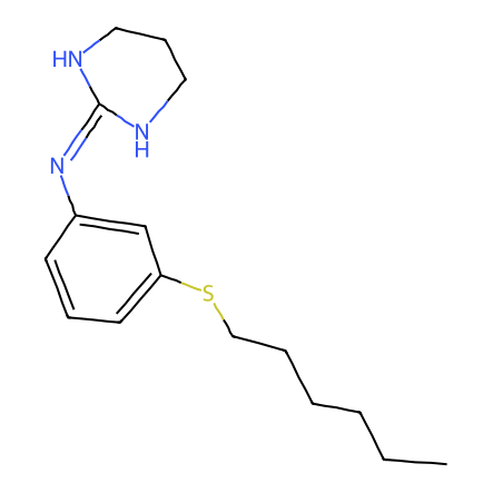 CCCCCCSc1cccc(N=C2NCCCN2)c1